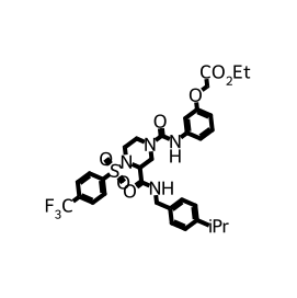 CCOC(=O)COc1cccc(NC(=O)N2CCN(S(=O)(=O)c3ccc(C(F)(F)F)cc3)C(C(=O)NCc3ccc(C(C)C)cc3)C2)c1